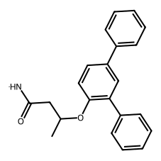 CC(CC([NH])=O)Oc1ccc(-c2ccccc2)cc1-c1ccccc1